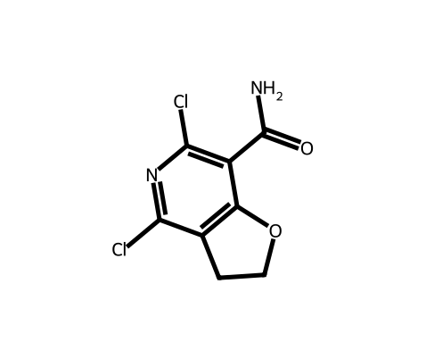 NC(=O)c1c(Cl)nc(Cl)c2c1OCC2